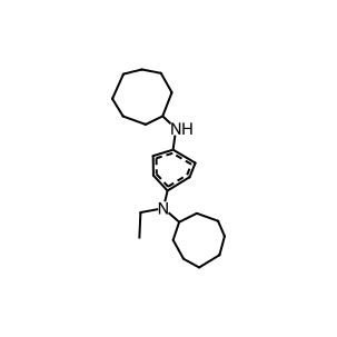 CCN(c1ccc(NC2CCCCCCC2)cc1)C1CCCCCCC1